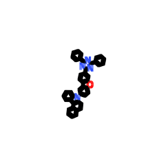 c1ccc(-c2nc(-c3ccccc3)nc(-c3ccc4c(c3)oc3ccc(-n5c6ccccc6c6c7ccccc7ccc65)cc34)n2)cc1